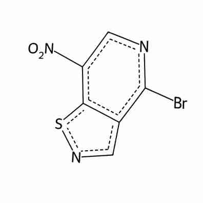 O=[N+]([O-])c1cnc(Br)c2cnsc12